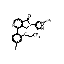 CC(C)n1cc(N2Cc3c(ccnc3-c3ccc(F)cc3OCC(F)(F)F)C2=O)cn1